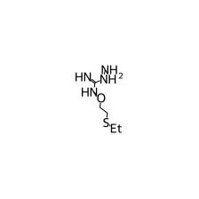 CCSCCONC(=N)NN